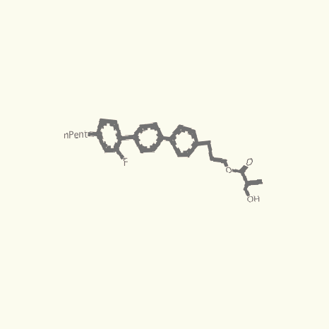 C=C(CO)C(=O)OCCCc1ccc(-c2ccc(-c3ccc(CCCCC)cc3F)cc2)cc1